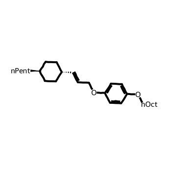 CCCCCCCCOc1ccc(OC/C=C/[C@H]2CC[C@H](CCCCC)CC2)cc1